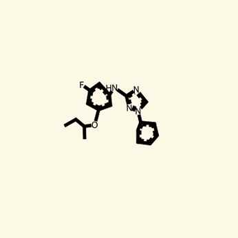 CCC(C)Oc1cc(F)cc(Nc2ncn(-c3ccccc3)n2)c1